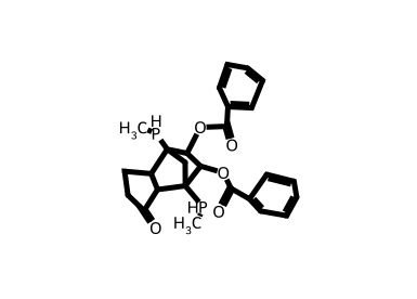 CPC12CC(PC)(C(OC(=O)c3ccccc3)C1OC(=O)c1ccccc1)C1C(=O)CCC12